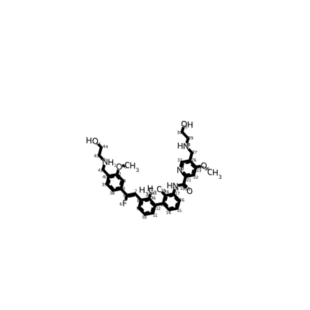 COc1cc(/C(F)=C/c2cccc(-c3cccc(NC(=O)c4cc(OC)c(CNCCO)cn4)c3C)c2C)ccc1CNCCO